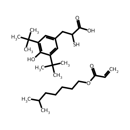 C=CC(=O)OCCCCCC(C)C.CC(C)(C)c1cc(CC(S)C(=O)O)cc(C(C)(C)C)c1O